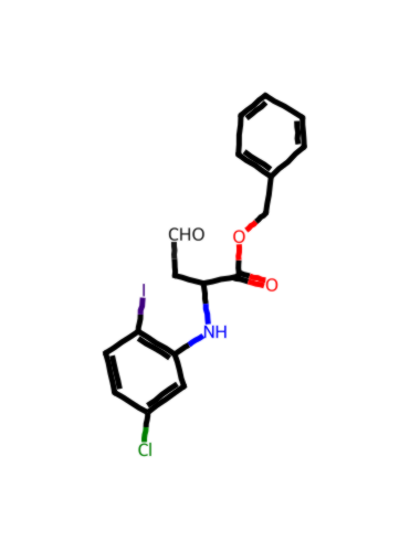 O=CCC(Nc1cc(Cl)ccc1I)C(=O)OCc1ccccc1